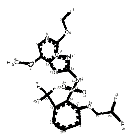 COc1cnc(OCI)n2nc(NS(=O)(=O)c3c(OCC(F)F)cccc3C(F)(F)F)nc12